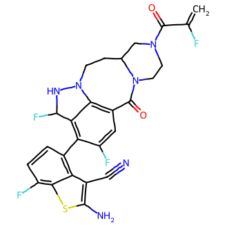 C=C(F)C(=O)N1CCN2C(=O)c3cc(F)c(-c4ccc(F)c5sc(N)c(C#N)c45)c4c3N(CCC2C1)NC4F